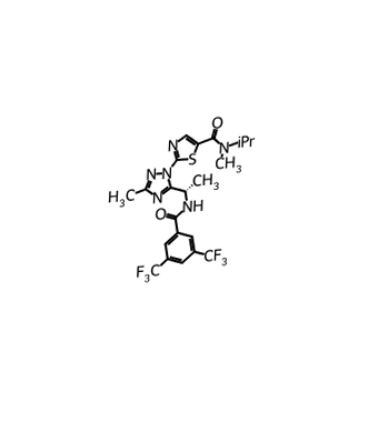 Cc1nc([C@H](C)NC(=O)c2cc(C(F)(F)F)cc(C(F)(F)F)c2)n(-c2ncc(C(=O)N(C)C(C)C)s2)n1